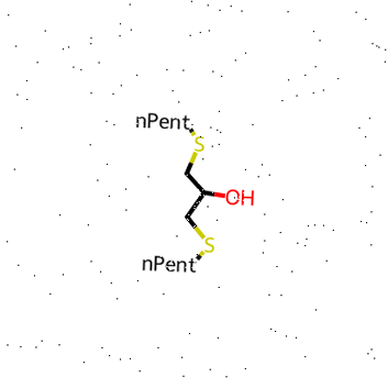 CCCCCSCC(O)CSCCCCC